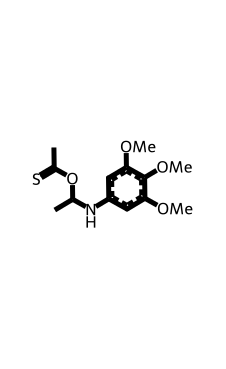 COc1cc(NC(C)OC(C)=S)cc(OC)c1OC